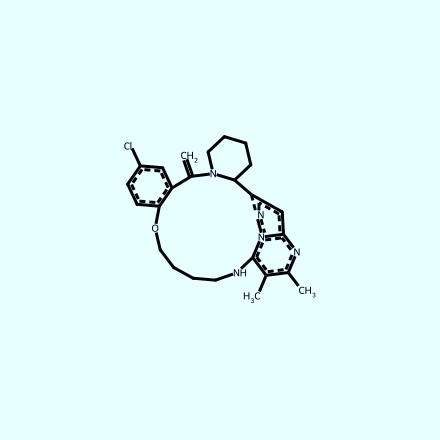 C=C1c2cc(Cl)ccc2OCCCCNc2c(C)c(C)nc3cc(nn23)C2CCCCN12